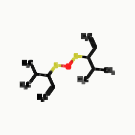 C=CC(SOSC(C=C)C(C)C)C(C)C